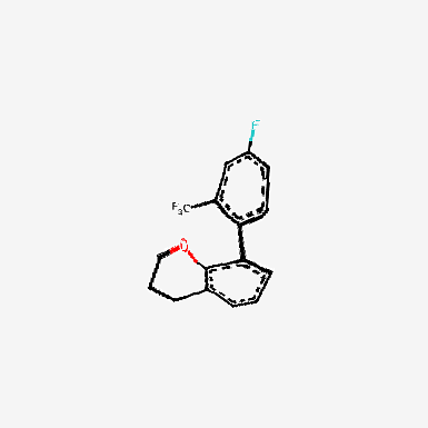 Fc1ccc(-c2cccc3c2OCCC3)c(C(F)(F)F)c1